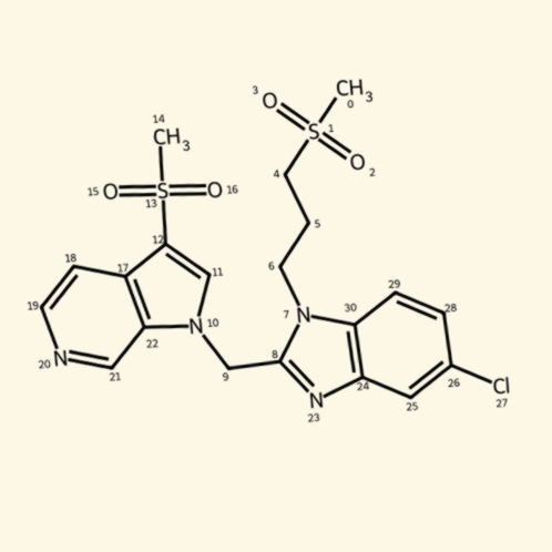 CS(=O)(=O)CCCn1c(Cn2cc(S(C)(=O)=O)c3ccncc32)nc2cc(Cl)ccc21